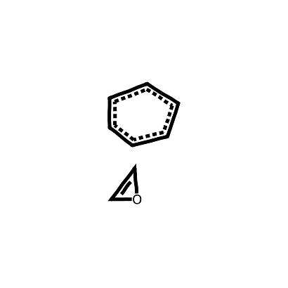 C1=CO1.c1ccccc1